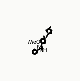 COc1cc(OCc2ccc(C)cn2)ccc1-c1c[nH]c(-c2ccccc2)n1